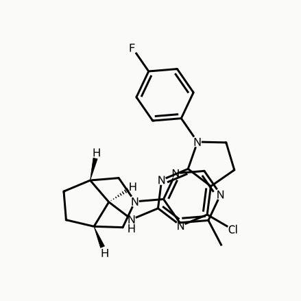 Cc1cc(N2C[C@H]3CC[C@@H](C2)[C@@H]3Nc2nc(Cl)c3c(n2)N(c2ccc(F)cc2)CC3)ncn1